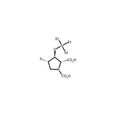 CC[Si](CC)(CC)O[C@@H]1[C@@H](F)CN(C(=O)O)[C@H]1C(=O)O